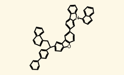 c1ccc(-c2ccc(C(Cc3cccc4ccccc34)c3ccc4oc5ccc(-c6ccc7c8ccccc8n(-c8cccc9ccccc89)c7c6)cc5c4c3)cc2)cc1